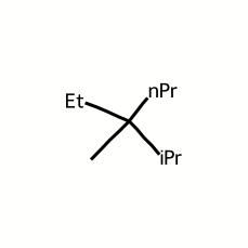 [CH2]C(C)C(C)(CC)CCC